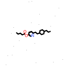 CCCCC(=O)Oc1ccc(CCC2CCC(CCC)CC2)nc1